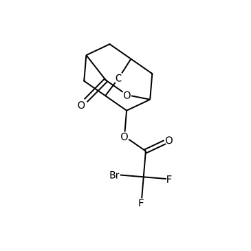 O=C1OC2CC3CC1CC(C3)C2OC(=O)C(F)(F)Br